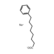 O=C([O-])CCCCCCCc1ccccc1.[Na+]